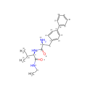 CCNC(=O)[C@H](NC(=O)[C@@H](N)Cc1ccc(-c2ccccc2)cc1)C(C)C